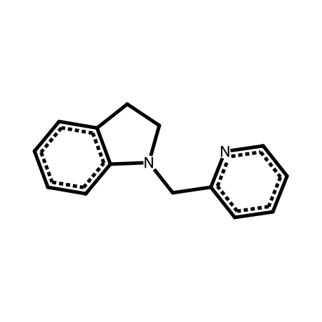 c1ccc(CN2CCc3ccccc32)nc1